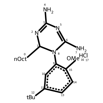 CCCCCCCCC1N=C(N)N=C(N)N1c1cc(C(C)(C)C)ccc1OC.Cl